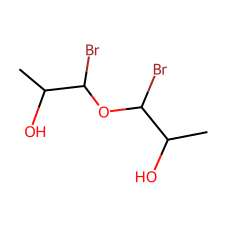 CC(O)C(Br)OC(Br)C(C)O